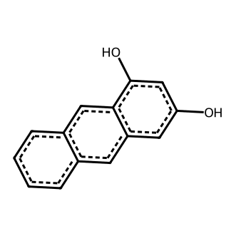 Oc1cc(O)c2cc3ccccc3cc2c1